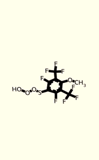 COc1c(C(F)(F)F)c(F)c(SOOO)c(F)c1C(F)(F)F